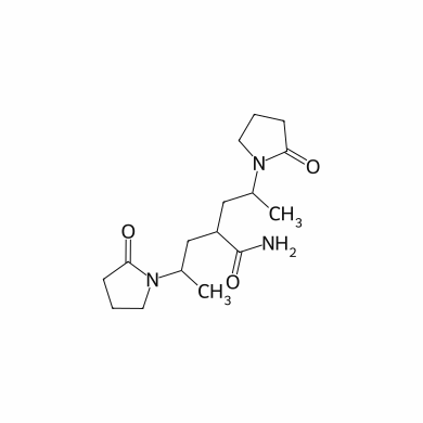 CC(CC(CC(C)N1CCCC1=O)C(N)=O)N1CCCC1=O